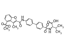 Cc1c(C(=O)Nc2ccc(-c3ccc(S(=O)(=O)N[C@@H](C(=O)O)C(C)C)cc3)cc2)oc2cccc(S(C)(=O)=O)c12